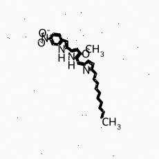 CCCCCCCCCCCC1=N/C(=C/c2[nH]c(-c3cc4ccc([N+](=O)[O-])cc4[nH]3)cc2OC)C=C1